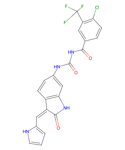 O=C(NC(=O)c1ccc(Cl)c(C(F)(F)F)c1)Nc1ccc2c(c1)NC(=O)C2=Cc1ccc[nH]1